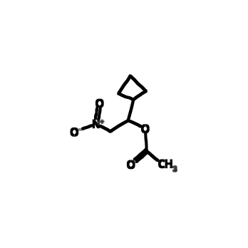 CC(=O)OC(C[N+](=O)[O-])C1CCC1